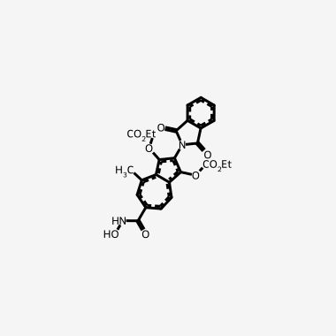 CCOC(=O)Oc1c2ccc(C(=O)NO)cc(C)c-2c(OC(=O)OCC)c1N1C(=O)c2ccccc2C1=O